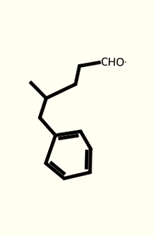 CC(CC[C]=O)Cc1ccccc1